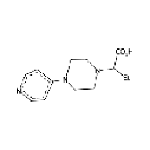 CCC(C(=O)O)N1CCN(c2ccncc2)CC1